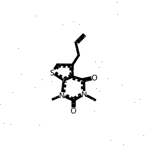 C=CCc1csc2c1c(=O)n(C)c(=O)n2C